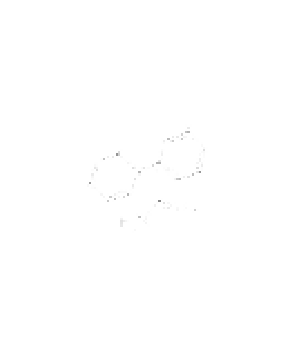 C1=CCN(c2ccccc2)C=C1.NC=O